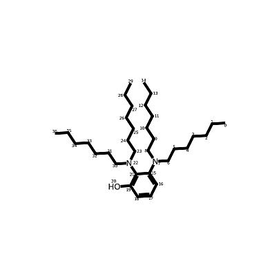 CCCCCCCN(CCCCCCC)c1cccc(O)c1N(CCCCCCC)CCCCCCC